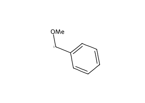 CO[C]c1ccccc1